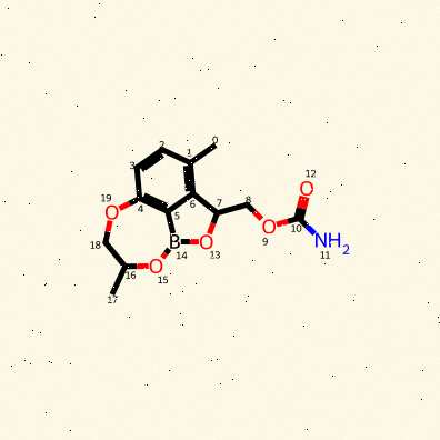 Cc1ccc2c3c1C(COC(N)=O)OB3OC(C)CO2